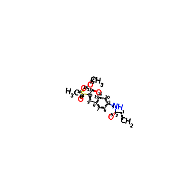 C=CC(=O)Nc1ccc(/C=C(\C(=O)OC)S(C)(=O)=O)cc1